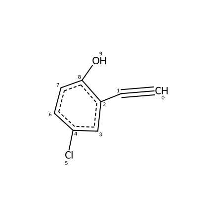 C#Cc1cc(Cl)ccc1O